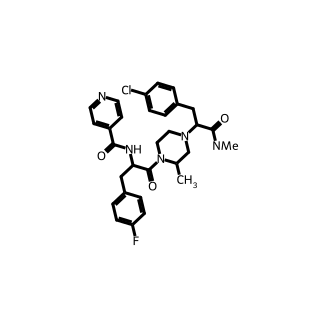 CNC(=O)C(Cc1ccc(Cl)cc1)N1CCN(C(=O)C(Cc2ccc(F)cc2)NC(=O)c2ccncc2)C(C)C1